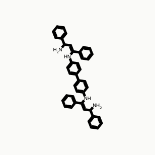 NC(/C=C(\Nc1ccc(-c2ccc(N/C(=C\C(N)c3ccccc3)c3ccccc3)cc2)cc1)c1ccccc1)c1ccccc1